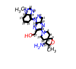 C[C@@H]1OCC2(CCN(c3nc4cnn(-c5cccc6c5ncn6C)c4nc3CO)CC2)[C@@H]1N